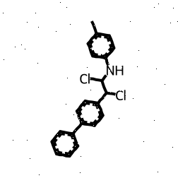 Cc1ccc(NC(Cl)C(Cl)c2ccc(-c3ccccc3)cc2)cc1